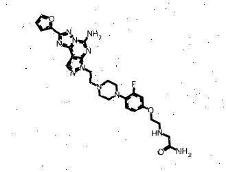 NC(=O)CNCCOc1ccc(N2CCN(CCn3ncc4c3nc(N)n3nc(-c5ccco5)nc43)CC2)c(F)c1